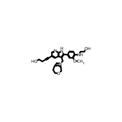 COc1cc(-c2[nH]c3ncc(C#CCCO)cc3c2CN2CC3CCOCC2C3)ccc1NCCO